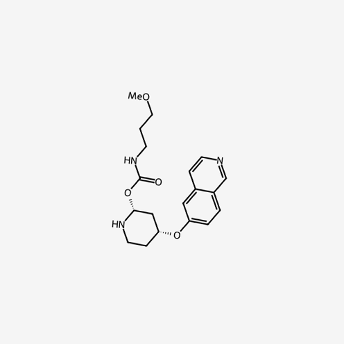 COCCCNC(=O)O[C@@H]1C[C@H](Oc2ccc3cnccc3c2)CCN1